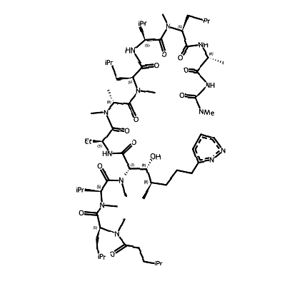 CC[C@H](NC(=O)[C@H]([C@H](O)[C@H](C)CCCc1cccnn1)N(C)C(=O)[C@H](C(C)C)N(C)C(=O)[C@H](CC(C)C)N(C)C(=O)CCC(C)C)C(=O)N(C)[C@H](C)C(=O)N(C)[C@@H](CC(C)C)C(=O)N[C@H](C(=O)N(C)[C@@H](CC(C)C)C(=O)N[C@H](C)C(=O)NC(=O)NC)C(C)C